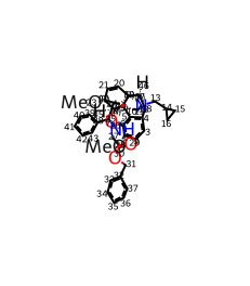 COc1ccc2c3c1O[C@@H]1[C@]34CCN(CC3CC3)[C@H](C2)[C@]42C=C[C@@]1(OC)C(C(NCC(=O)OCc1ccccc1)c1ccccc1)C2